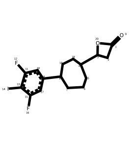 O=C1CC(C2CCCC(c3cc(F)c(I)c(F)c3)CC2)O1